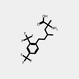 CC(CCc1ccc(C(F)(F)F)cc1C(F)(F)F)CC(C)(N)C(=O)O